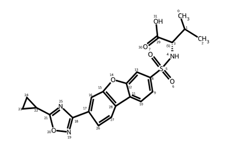 CC(C)[C@H](NS(=O)(=O)c1ccc2c(c1)oc1cc(-c3noc(C4CC4)n3)ccc12)C(=O)O